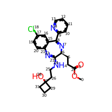 COC(=O)CC[C@@H]1N=C(c2ccccn2)c2cc(Cl)ccc2N=C1NCCC1(O)CCC1